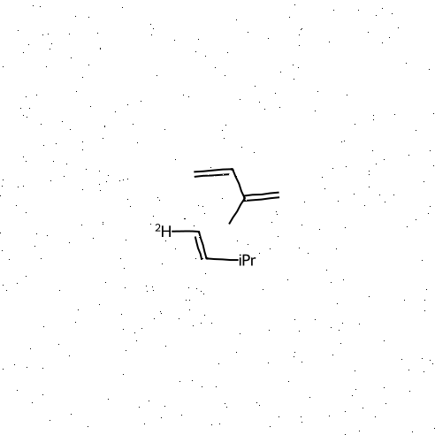 C=CC(=C)C.[2H]C=CC(C)C